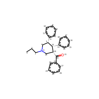 CCCN1C[C@H](c2[c]cccc2)[C@H](c2ccccc2)[C@H](C(=O)c2ccccc2)C1